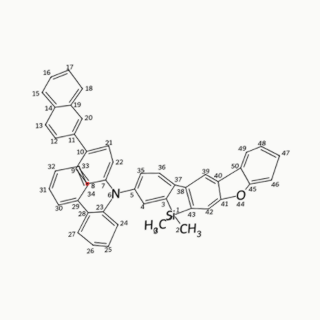 C[Si]1(C)c2cc(N(c3ccc(-c4ccc5ccccc5c4)cc3)c3ccccc3-c3ccccc3)ccc2-c2cc3c(cc21)oc1ccccc13